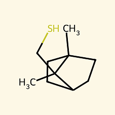 CC12CCC(CC1)C2(C)CS